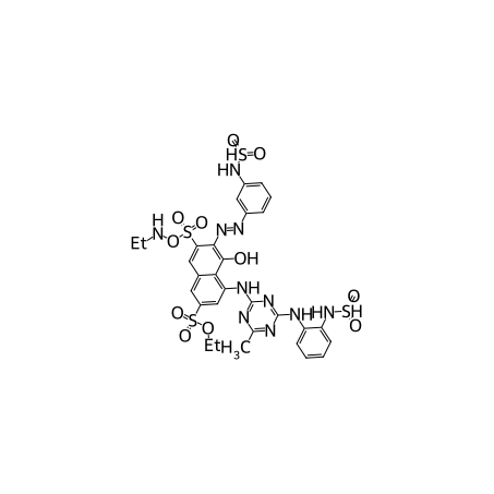 CCNOS(=O)(=O)c1cc2cc(S(=O)(=O)OCC)cc(Nc3nc(C)nc(Nc4ccccc4N[SH](=O)=O)n3)c2c(O)c1N=Nc1cccc(N[SH](=O)=O)c1